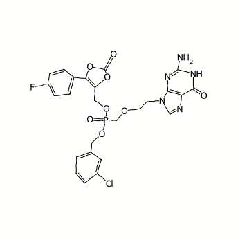 Nc1nc2c(ncn2CCOCP(=O)(OCc2cccc(Cl)c2)OCc2oc(=O)oc2-c2ccc(F)cc2)c(=O)[nH]1